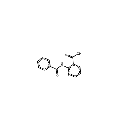 O=C(Nc1ncccc1C(=O)O)c1ccccc1